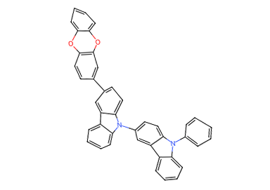 c1ccc(-n2c3ccccc3c3cc(-n4c5ccccc5c5cc(-c6ccc7c(c6)Oc6ccccc6O7)ccc54)ccc32)cc1